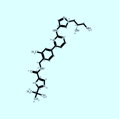 Cc1cc(-c2ccnc(Nc3cnn(C[C@@H](O)CN)c3)n2)ccc1CNC(=O)c1cnc(C(C)(C)C)s1